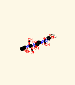 C=S(=O)(O)c1ccc(N2N=C(C(=O)O)C(/N=N/c3ccc4c(O)c(/N=N/c5cc(OCCO)c(/N=N/c6ccc7ccccc7c6S(=O)(=O)O)cc5OCCO)c(S(=O)(=O)O)cc4c3)C2=O)cc1